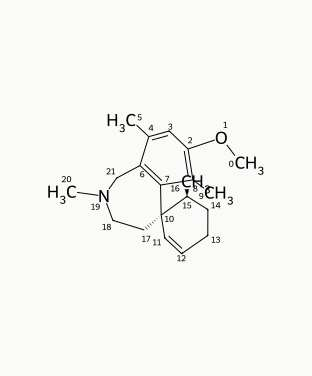 COc1cc(C)c2c(c1C)[C@@]1(C=CCC[C@@H]1C)CCN(C)C2